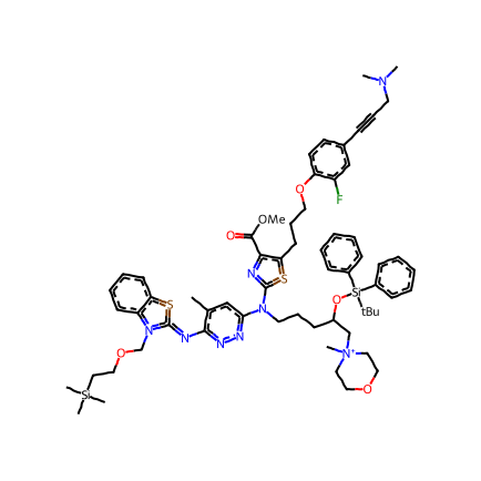 COC(=O)c1nc(N(CCCC(C[N+]2(C)CCOCC2)O[Si](c2ccccc2)(c2ccccc2)C(C)(C)C)c2cc(C)c(/N=c3\sc4ccccc4n3COCC[Si](C)(C)C)nn2)sc1CCCOc1ccc(C#CCN(C)C)cc1F